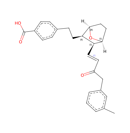 Cc1cccc(CC(=O)/C=C/[C@H]2[C@@H](CCc3ccc(C(=O)O)cc3)[C@H]3CC[C@@H]2O3)c1